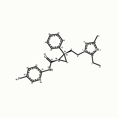 CCc1nc(C)nn1CC[C@@]1(c2ccccc2)C[C@H]1C(=O)Nc1ccc(F)cn1